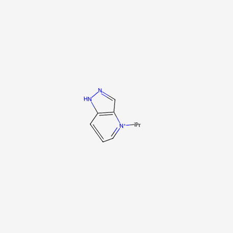 CC(C)[n+]1cccc2[nH]ncc21